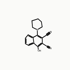 N#Cc1c(C#N)c(N2CCCCC2)c2ccccc2c1O